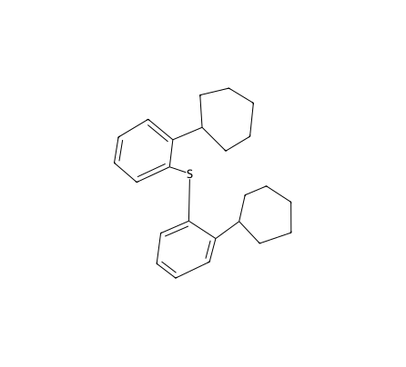 c1ccc(C2CCCCC2)c(Sc2ccccc2C2CCCCC2)c1